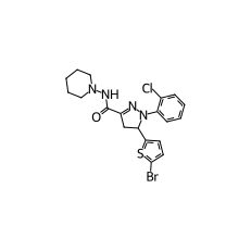 O=C(NN1CCCCC1)C1=NN(c2ccccc2Cl)C(c2ccc(Br)s2)C1